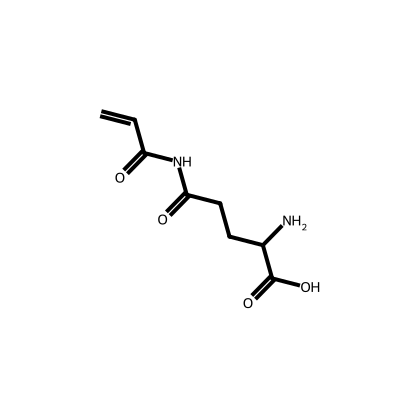 C=CC(=O)NC(=O)CCC(N)C(=O)O